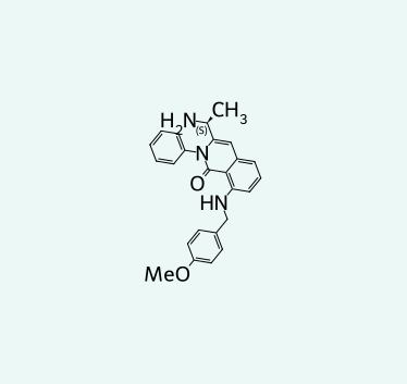 COc1ccc(CNc2cccc3cc([C@H](C)N)n(-c4ccccc4)c(=O)c23)cc1